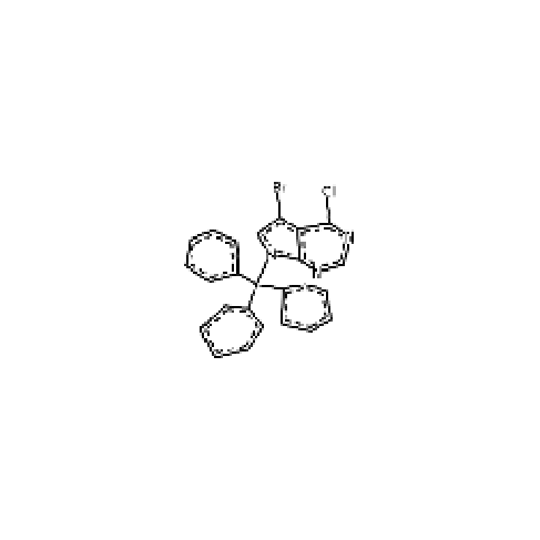 Clc1ncnc2c1c(Br)cn2C(c1ccccc1)(c1ccccc1)c1ccccc1